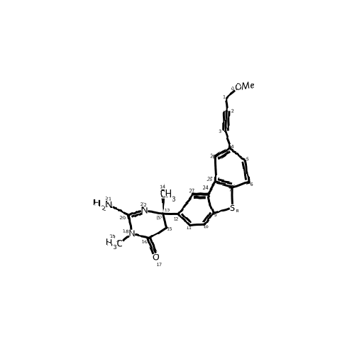 COCC#Cc1ccc2sc3ccc([C@]4(C)CC(=O)N(C)C(N)=N4)cc3c2c1